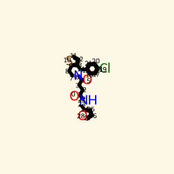 O=C(CCC(=O)N1CCc2sccc2C1c1ccc(Cl)cc1)NCc1ccco1